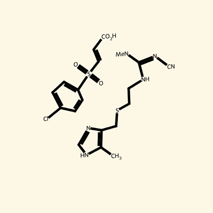 CN/C(=N/C#N)NCCSCc1nc[nH]c1C.O=C(O)/C=C/S(=O)(=O)c1ccc(Cl)cc1